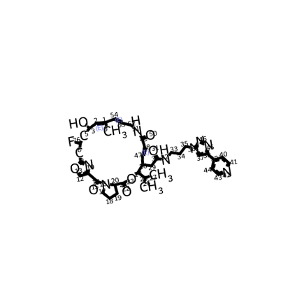 CC1=C\C(O)CC(F)Cc2nc(co2)C(=O)N2CCCC2C(=O)OC(C(C)C)C(CC(=O)NCCCn2cc(-c3ccncc3)nn2)/C=C/C(=O)NC\C=C\1